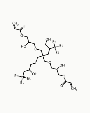 C=CC(=O)OCC(O)COCC(COCC(O)COC(=O)C=C)(COCC(O)C[N+](CC)(CC)CC)CC(CO)[N+](CC)(CC)CC